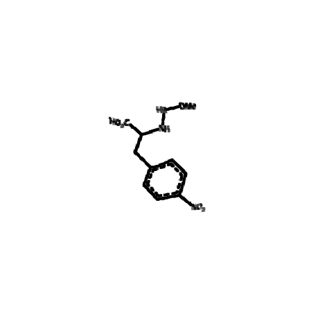 COBNC(Cc1ccc([N+](=O)[O-])cc1)C(=O)O